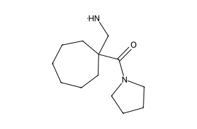 [NH]CC1(C(=O)N2CCCC2)CCCCCC1